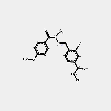 COc1ccc(C(=O)N(C)/N=C/c2ccc(C(=O)NO)cc2F)cc1